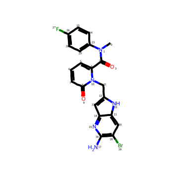 CN(C(=O)c1cccc(=O)n1Cc1cc2nc(N)c(Br)cc2[nH]1)c1ccc(F)cc1